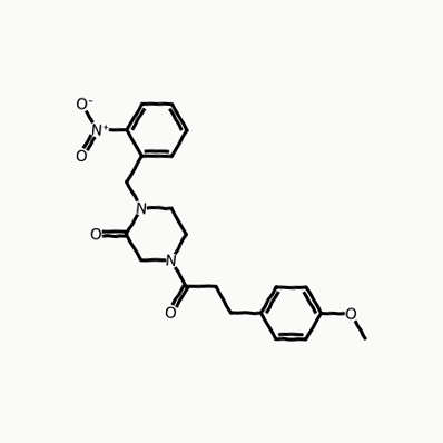 COc1ccc(CCC(=O)N2CCN(Cc3ccccc3[N+](=O)[O-])C(=O)C2)cc1